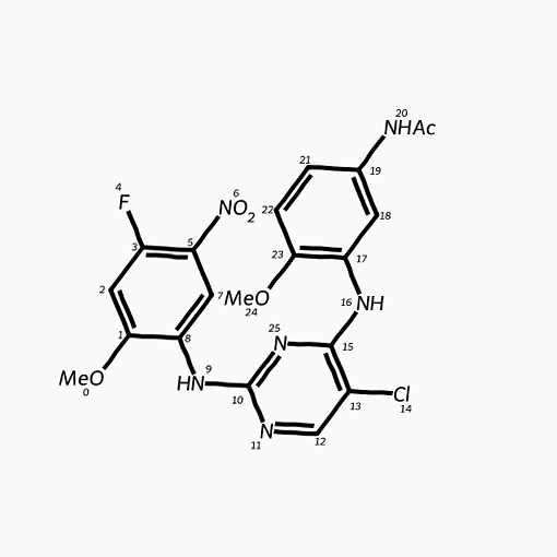 COc1cc(F)c([N+](=O)[O-])cc1Nc1ncc(Cl)c(Nc2cc(NC(C)=O)ccc2OC)n1